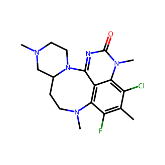 Cc1c(F)c2c3c(nc(=O)n(C)c3c1Cl)N1CCN(C)CC1CCN2C